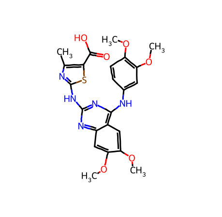 COc1ccc(Nc2nc(Nc3nc(C)c(C(=O)O)s3)nc3cc(OC)c(OC)cc23)cc1OC